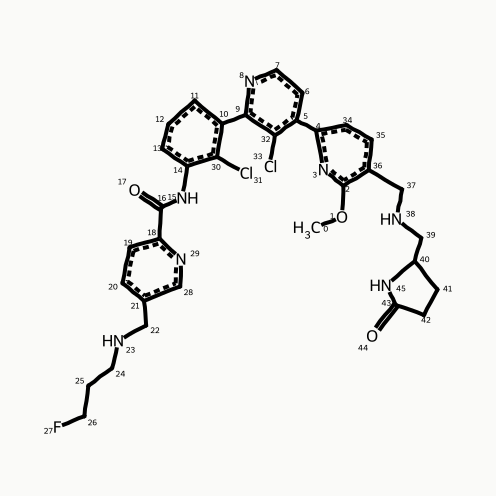 COc1nc(-c2ccnc(-c3cccc(NC(=O)c4ccc(CNCCCF)cn4)c3Cl)c2Cl)ccc1CNCC1CCC(=O)N1